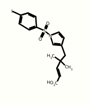 CC(C)(/C=C/C(=O)O)Cc1ccn(S(=O)(=O)c2ccc(I)cc2)c1